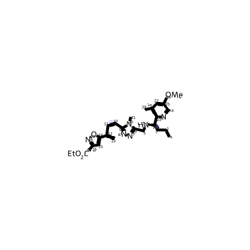 C=C/C=C(/NCc1nnc(/C=C\C(=C)c2cc(C(=O)OCC)no2)n1C)c1ncc(OC)cc1C